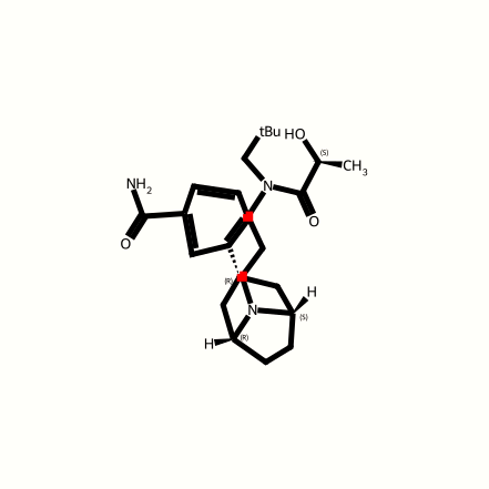 C[C@H](O)C(=O)N(CCCN1[C@@H]2CC[C@H]1C[C@@H](c1cccc(C(N)=O)c1)C2)CC(C)(C)C